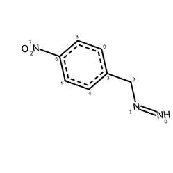 N=NCc1ccc([N+](=O)[O-])cc1